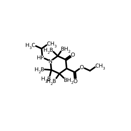 BC1(B)C(=O)C(C(=O)OCC)C(B)(B)C(B)(B)N1PC(C)C